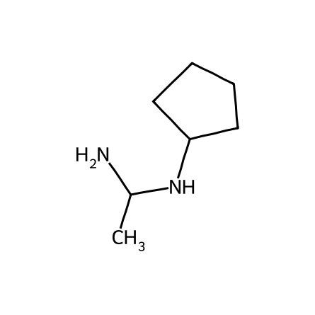 CC(N)NC1CCCC1